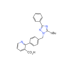 CCCCc1nc(-c2ccccc2)nn1Cc1ccc(-c2ncccc2C(=O)O)cc1